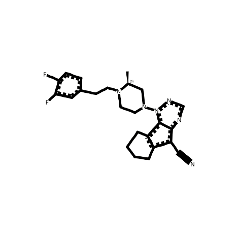 C[C@H]1CN(n2ncnc3c(C#N)c4c(c2-3)CCCC4)CCN1CCc1ccc(F)c(F)c1